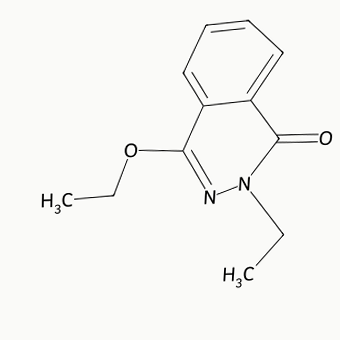 CCOc1nn(CC)c(=O)c2ccccc12